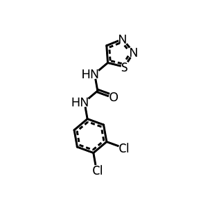 O=C(Nc1ccc(Cl)c(Cl)c1)Nc1cnns1